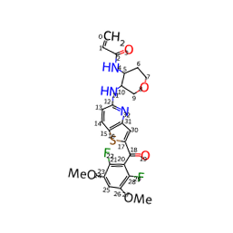 C=CC(=O)NC1CCOCC1Nc1ccc2sc(C(=O)c3c(F)c(OC)cc(OC)c3F)cc2n1